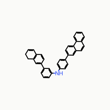 C1=Cc2ccc(-c3cccc(Nc4ccc(-c5ccc6c(ccc7ccccc76)c5)cc4)c3)cc2CC1